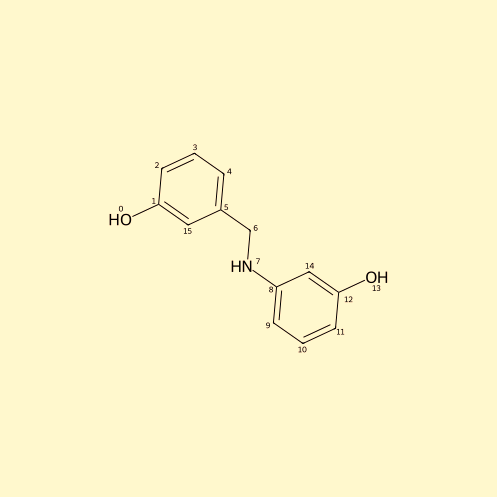 Oc1cccc(CNc2cccc(O)c2)c1